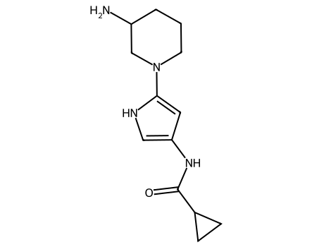 NC1CCCN(c2cc(NC(=O)C3CC3)c[nH]2)C1